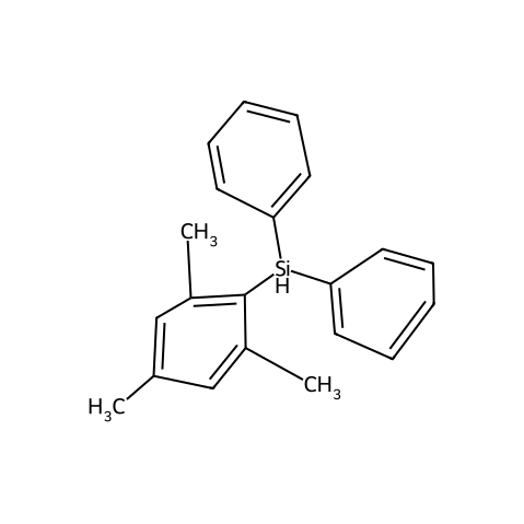 Cc1cc(C)c([SiH](c2ccccc2)c2ccccc2)c(C)c1